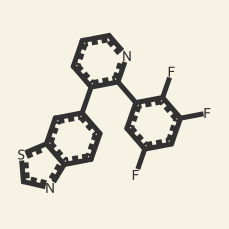 Fc1cc(F)c(F)c(-c2ncccc2-c2ccc3ncsc3c2)c1